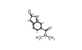 CN(C)C(=O)c1ccc2c(c1)=NC(=O)C=2